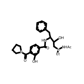 CCN(CC(O)C(Cc1ccccc1)NC(=O)c1ccc(C(=O)N2CCCC2)c(O)c1)NC(C)=O